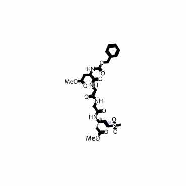 COC(=O)CC(NC(=O)OCc1ccccc1)C(=O)NCC(=O)NCC(=O)N[C@H](/C=C/S(C)(=O)=O)CC(=O)OC